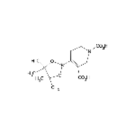 CC1(C)OB(C2=C(C(=O)O)CN(C(=O)O)CC2)OC1(C)C